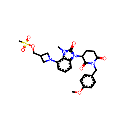 COc1ccc(CN2C(=O)CCC(n3c(=O)n(C)c4c(N5CC(COS(C)(=O)=O)C5)cccc43)C2=O)cc1